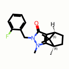 Cn1c2c(c(=O)n1Cc1ccccc1F)[C@H]1CC[C@]2(C)C1(C)C